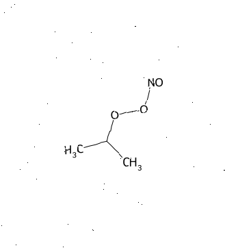 CC(C)OON=O